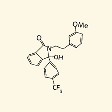 COc1cccc(CCN2C(=O)c3ccccc3C2(O)c2ccc(C(F)(F)F)cc2)c1